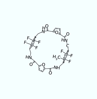 Cc1c(F)c2c(F)c(F)c1CNC(=O)c1ccc(o1)C(=O)NCc1c(F)c(F)c(c(F)c1F)CNC(=O)c1ccc(o1)C(=O)NC2